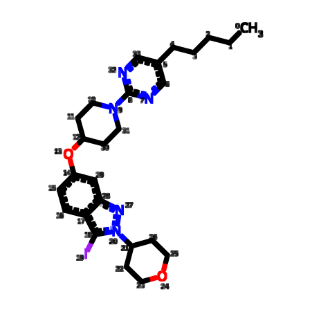 CCCCCc1cnc(N2CCC(Oc3ccc4c(I)n(C5CCOCC5)nc4c3)CC2)nc1